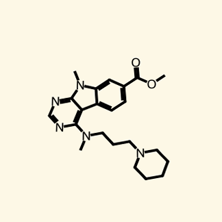 COC(=O)c1ccc2c3c(N(C)CCCN4CCCCC4)ncnc3n(C)c2c1